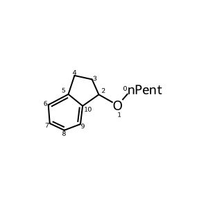 [CH2]CCCCOC1CCc2ccccc21